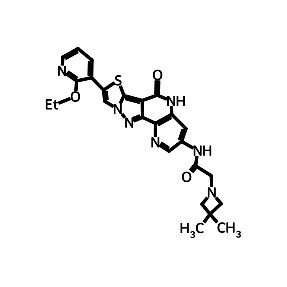 CCOc1ncccc1-c1cn2nc3c4ncc(NC(=O)CN5CC(C)(C)C5)cc4[nH]c(=O)c3c2s1